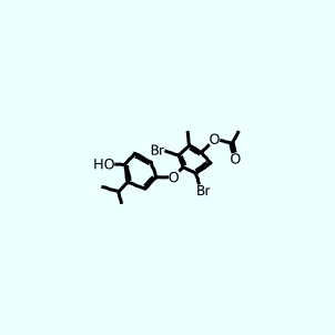 CC(=O)Oc1cc(Br)c(Oc2ccc(O)c(C(C)C)c2)c(Br)c1C